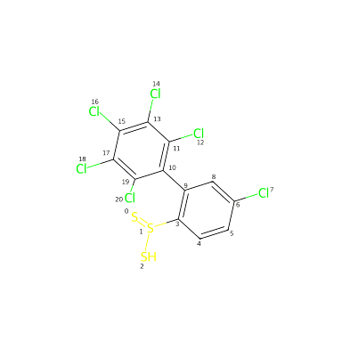 S=S(S)c1ccc(Cl)cc1-c1c(Cl)c(Cl)c(Cl)c(Cl)c1Cl